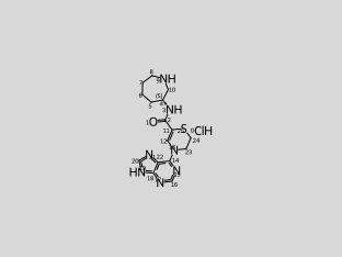 Cl.O=C(N[C@H]1CCCCNC1)C1=CN(c2ncnc3[nH]cnc23)CCS1